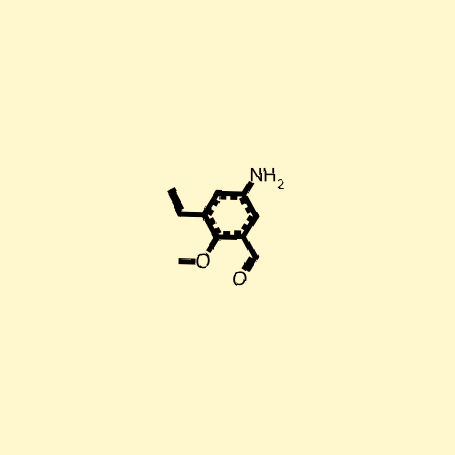 C=Cc1cc(N)cc(C=O)c1OC